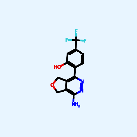 Nc1nnc(-c2ccc(C(F)(F)F)cc2O)c2c1COC2